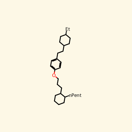 CCCCCC1CCCCC1CCCOc1ccc(CCC2CCC(CC)CC2)cc1